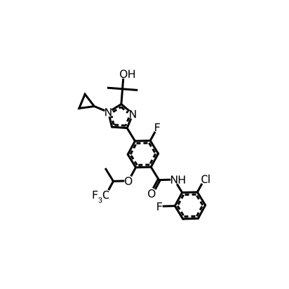 CC(Oc1cc(-c2cn(C3CC3)c(C(C)(C)O)n2)c(F)cc1C(=O)Nc1c(F)cccc1Cl)C(F)(F)F